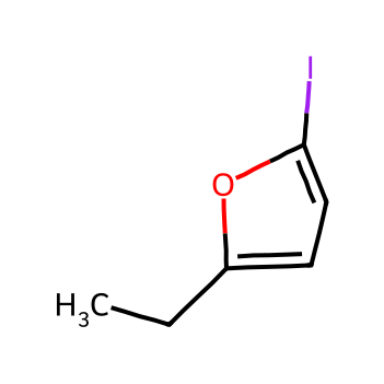 CCc1ccc(I)o1